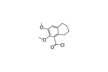 COc1cc2c(c(C(=O)Cl)c1OC)CCCC2